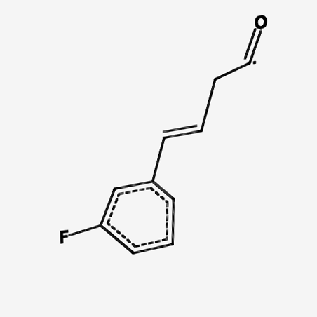 O=[C]C/C=C/c1cccc(F)c1